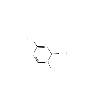 CC1=NC(C(Cl)(Cl)Cl)N(C(Cl)(Cl)Cl)C=N1